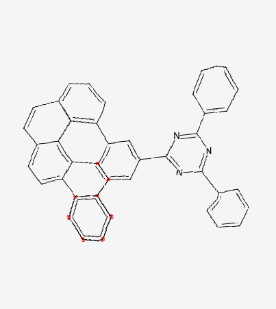 c1ccc(-c2cc(-c3nc(-c4ccccc4)nc(-c4ccccc4)n3)cc(-c3cccc4ccc5ccc6c7ccccc7ccc6c5c34)c2)cc1